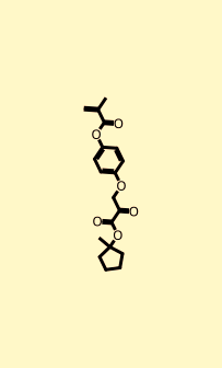 C=C(C)C(=O)Oc1ccc(OCC(=O)C(=O)OC2(C)CCCC2)cc1